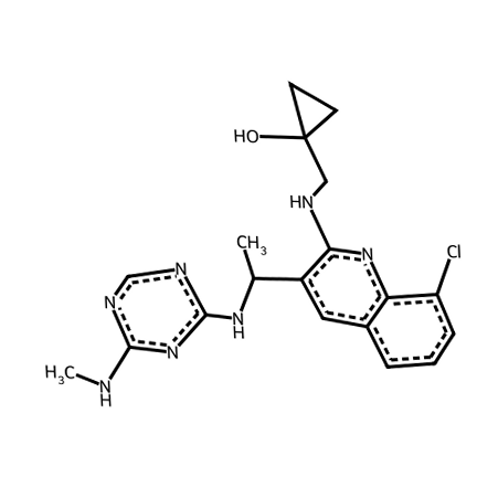 CNc1ncnc(NC(C)c2cc3cccc(Cl)c3nc2NCC2(O)CC2)n1